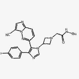 CC(C)(C)NC(=O)CN1CC(n2cnc(-c3ccc(F)cc3)c2-c2ccc3ncc(C#N)n3n2)C1